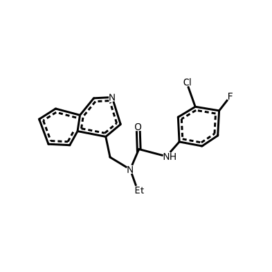 CCN(Cc1cncc2ccccc12)C(=O)Nc1ccc(F)c(Cl)c1